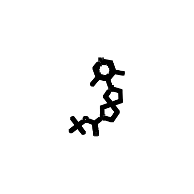 Cc1cncc(C)c1N1CCC2(CCN(C(=O)OC(C)(C)C)C2)C1